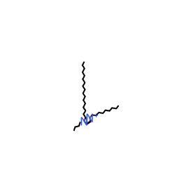 CCCCCCCCCCCCCCCCc1n(CCCC)cc[n+]1CCCCCCCCC